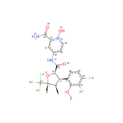 COc1c([C@H]2[C@@H](C)[C@](C)(C(F)(F)F)O[C@H]2C(=O)Nc2cc[n+](O)c(C(N)=O)c2)ccc(F)c1F